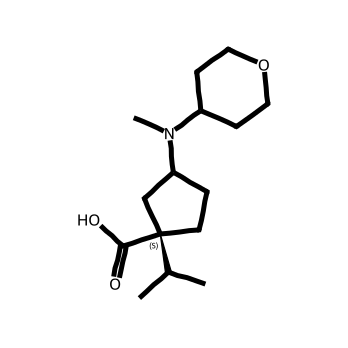 CC(C)[C@]1(C(=O)O)CCC(N(C)C2CCOCC2)C1